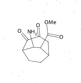 COC(=O)C1C2CCC(C(=O)C(=O)C2)C1N